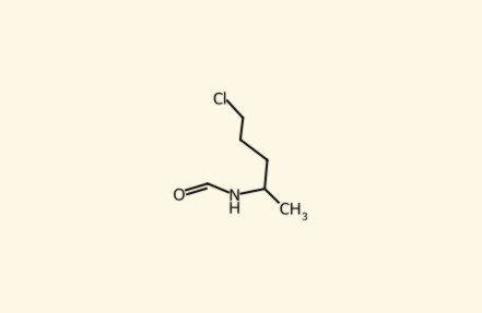 CC(CCCCl)NC=O